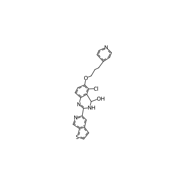 OC1NC(c2cc3ccsc3cn2)=Nc2ccc(OCCCc3ccncc3)c(Cl)c21